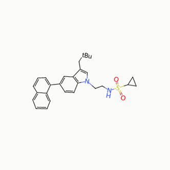 CC(C)(C)Cc1cn(CCNS(=O)(=O)C2CC2)c2ccc(-c3cccc4ccccc34)cc12